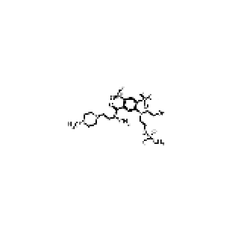 CN1CCN(CCN(C)C(=O)c2cc(N(CCBr)CCOS(C)(=O)=O)c(S(C)(=O)=O)cc2[N+](=O)[O-])CC1